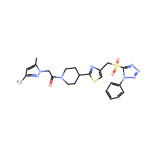 Cc1cc(C(F)(F)F)nn1CC(=O)N1CCC(c2nc(CS(=O)(=O)c3nnnn3-c3ccccc3)cs2)CC1